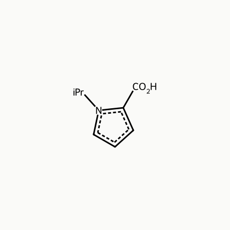 CC(C)n1cccc1C(=O)O